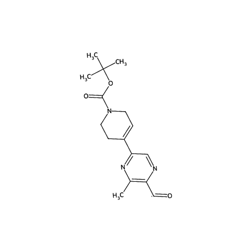 Cc1nc(C2=CCN(C(=O)OC(C)(C)C)CC2)cnc1[C]=O